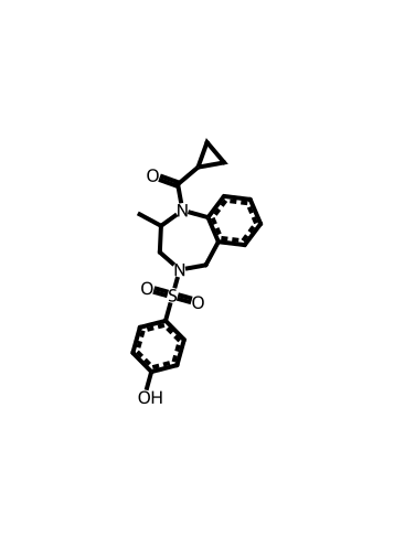 CC1CN(S(=O)(=O)c2ccc(O)cc2)Cc2ccccc2N1C(=O)C1CC1